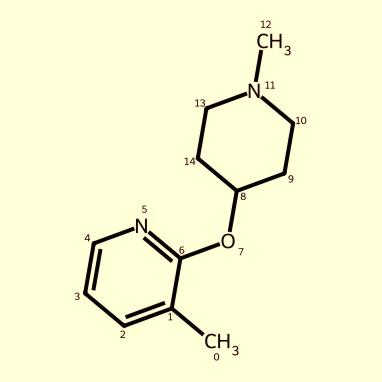 Cc1cccnc1OC1CCN(C)CC1